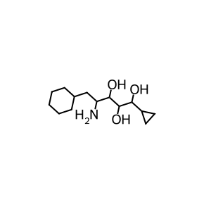 NC(CC1CCCCC1)C(O)C(O)C(O)C1CC1